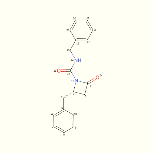 O=C1C[C@H](Cc2ccccc2)N1C(=O)NCc1ccccc1